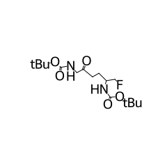 CC(C)(C)OC(=O)NCC(=O)CCC(CF)NC(=O)OC(C)(C)C